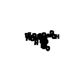 COc1cccc(S(=O)(=O)N2C[C@H](CCC(=O)O)Oc3ccc(NC(=O)OC(C)(C)C(F)(F)F)cc32)c1